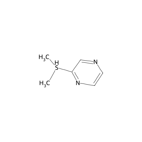 C[SH](C)c1cnccn1